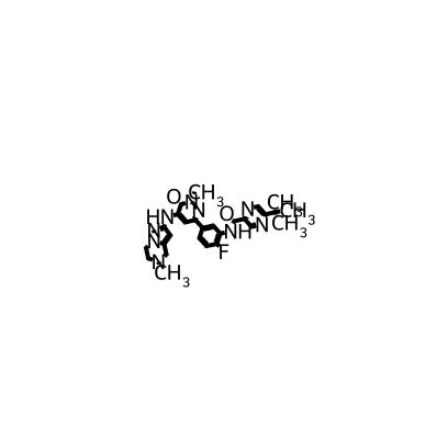 CN1CCn2nc(Nc3cc(-c4ccc(F)c(NC(=O)c5cnc(C(C)(C)C)cn5)c4)nn(C)c3=O)cc2C1